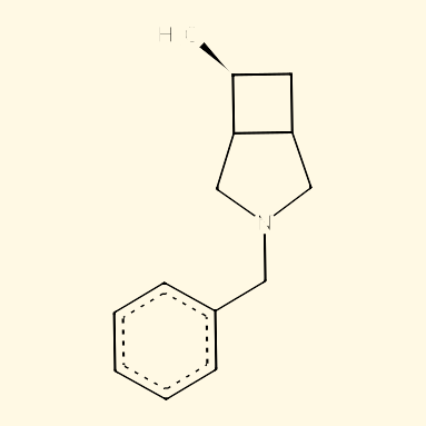 C[C@H]1CC2CN(Cc3ccccc3)CC21